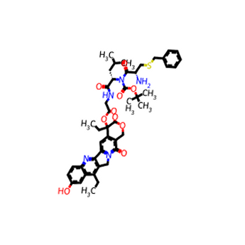 CCc1c2c(nc3ccc(O)cc13)-c1cc3c(c(=O)n1C2)COC(=O)C3(CC)OC(=O)CNC(=O)[C@H](CC(C)C)N(C(=O)OC(C)(C)C)C(=O)[C@@H](N)CSCc1ccccc1